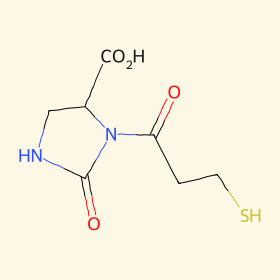 O=C(O)C1CNC(=O)N1C(=O)CCS